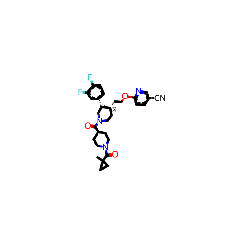 CC1(C(=O)N2CCC(C(=O)N3CC[C@@H](CCOc4ccc(C#N)cn4)[C@@H](c4ccc(F)c(F)c4)C3)CC2)CC1